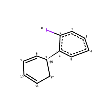 Ic1ccccc1[C@H]1C=CC=CC1